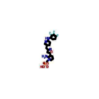 Nc1c(-c2cc(Cc3ccc(Nc4ccc(F)c(F)c4F)nc3)no2)ccc[n+]1COP(=O)([O-])O